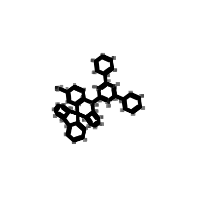 Clc1ccc2c(c1)C1(c3ccccc3-c3ccccc31)c1ccccc1N2c1nc(-c2ccccc2)nc(-c2ccccc2)n1